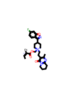 C/C=C(/CC)C(=O)OC[N+]1(CCc2c(C)nc3n(c2=O)CCCC3)CCC(c2noc3cc(F)ccc23)CC1